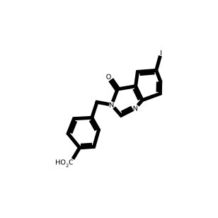 O=C(O)c1ccc(Cn2cnc3ccc(I)cc3c2=O)cc1